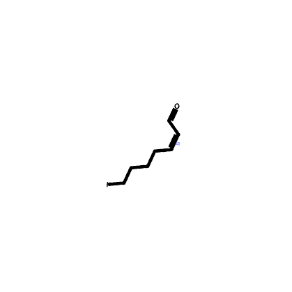 O=C/C=C\CCCCI